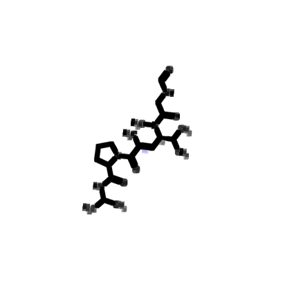 C/C(=C\[C@H](C(C)C)N(C)C(=O)CNC=O)C(=O)N1CCCC1C(=O)NC(C)C